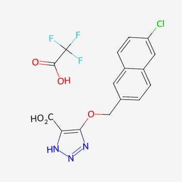 O=C(O)C(F)(F)F.O=C(O)c1[nH]nnc1OCc1ccc2cc(Cl)ccc2c1